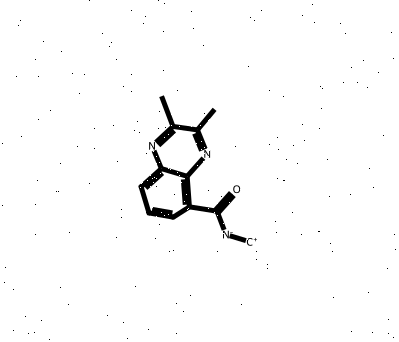 [CH2+][N-]C(=O)c1cccc2nc(C)c(C)nc12